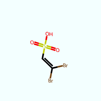 O=S(=O)(O)C=C(Br)Br